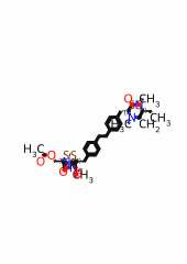 C=C1N(C)[C@@]2(Cc3ccc(CCc4ccc(C[C@@]56SS[C@@](COC(C)=O)(C(=O)N5C)N(C)C6=O)cc4)cc3)SS[C@]1(CC)N(C)C2=O